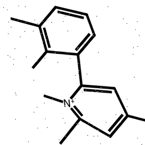 Cc1cc(C)[n+](C)c(-c2cccc(C)c2C)c1